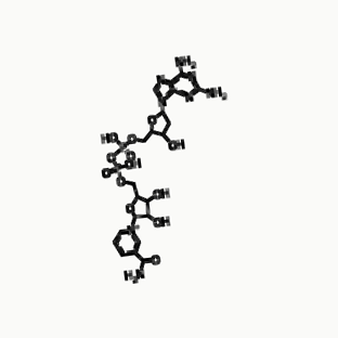 NC(=O)c1ccc[n+](C2OC(COP(=O)(O)OP(=O)(O)OCC3OC(n4cnc5c(N)nc(N)nc54)CC3O)C(O)C2O)c1